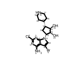 Nc1nc(Cl)nc2c1c(Br)cn2[C@@H]1C[C@H](C2CCNCC2)[C@@H](O)[C@H]1O